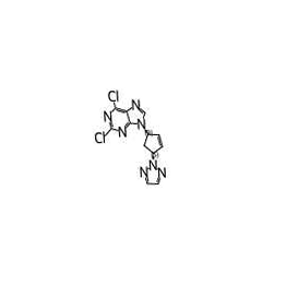 Clc1nc(Cl)c2ncn([C@H]3C=C[C@@H](n4nccn4)C3)c2n1